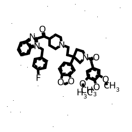 COc1cc(C(=O)N2CCC(CCN3CCC(C(=O)c4nc5ccccc5n4Cc4ccc(F)cc4)CC3)(c3ccc4c(c3)OCO4)C2)cc(OC)c1OC